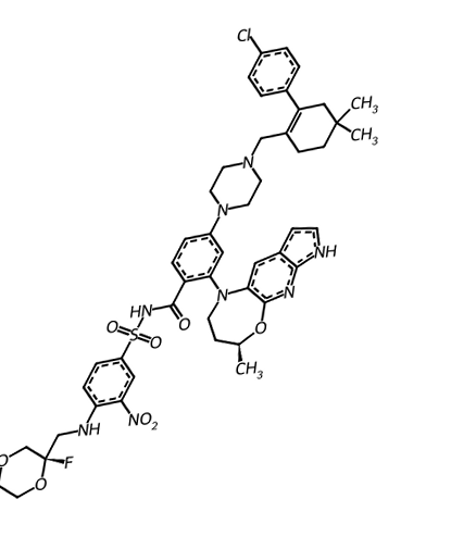 C[C@H]1CCN(c2cc(N3CCN(CC4=C(c5ccc(Cl)cc5)CC(C)(C)CC4)CC3)ccc2C(=O)NS(=O)(=O)c2ccc(NC[C@@]3(F)COCCO3)c([N+](=O)[O-])c2)c2cc3cc[nH]c3nc2O1